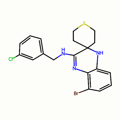 Clc1cccc(CNC2=Nc3c(Br)cccc3NC23CCSCC3)c1